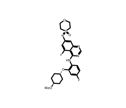 CO[C@H]1CC[C@H](Oc2cc(F)ccc2Nc2ncnc3cc(N=S4(=O)CCOCC4)cc(F)c23)CC1